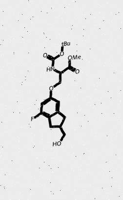 COC(=O)C(COc1cc(F)c2c(c1)CC(CO)C2)NC(=O)OC(C)(C)C